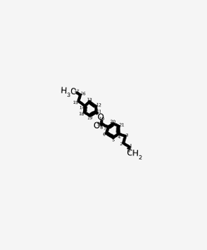 C=CCCc1ccc(C(=O)Oc2ccc(CCC)cc2)cc1